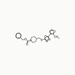 Cc1occc1-c1nnc(SCC2CCN(C(=O)OCc3ccccc3)CC2)o1